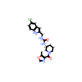 Cc1ocnc1C(=O)N1CCC[C@@H](NC(=O)NCc2cc3cc(Cl)ccc3[nH]2)C1